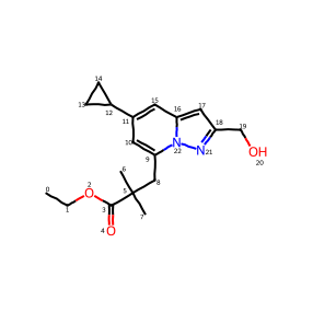 CCOC(=O)C(C)(C)Cc1cc(C2CC2)cc2cc(CO)nn12